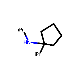 CC(C)NC1(C(C)C)CCCC1